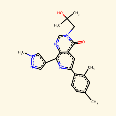 Cc1ccc(-c2cc3c(=O)n(CC(C)(C)O)cnc3c(-c3cnn(C)c3)n2)c(C)c1